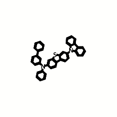 c1ccc(-c2cccc(N(c3ccccc3)c3ccc4c(c3)sc3cc(-n5c6ccccc6c6ccccc65)ccc34)c2)cc1